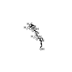 Cc1cnc(NC(=O)c2cnc(C(C)NC(=O)c3cc(C#CCCO)ncn3)s2)nc1C(C)(C)C